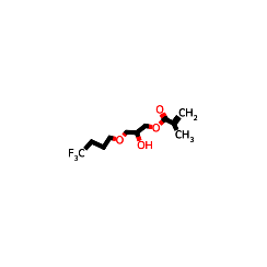 C=C(C)C(=O)OCC(O)COCCCC(F)(F)F